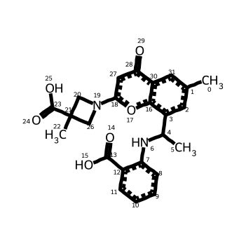 Cc1cc(C(C)Nc2ccccc2C(=O)O)c2oc(N3CC(C)(C(=O)O)C3)cc(=O)c2c1